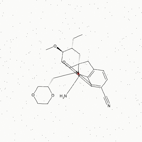 CC[C@@H]1C[C@]2(CC[C@H]1OC)Cc1ccc(C#N)cc1[C@]21N=C(N)N(C[C@H]2COCCO2)C1=O